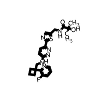 CC(C)(O)C(=O)NCc1cnc(-c2ccc(NCC3(c4ncccc4F)CCC3)nn2)s1